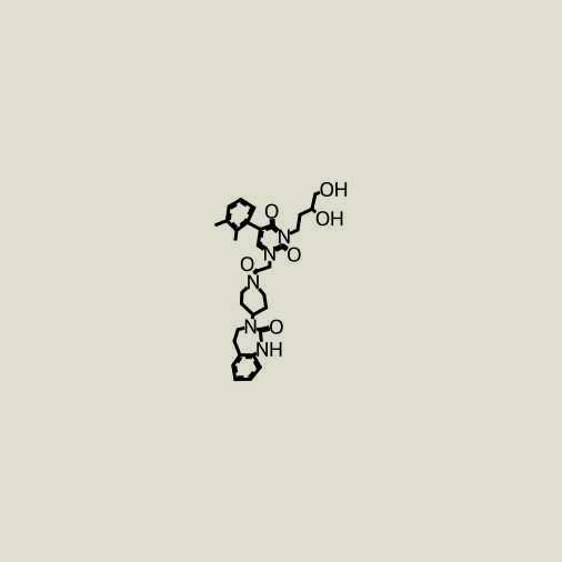 Cc1cccc(-c2cn(CC(=O)N3CCC(N4CCc5ccccc5NC4=O)CC3)c(=O)n(CCC(O)CO)c2=O)c1C